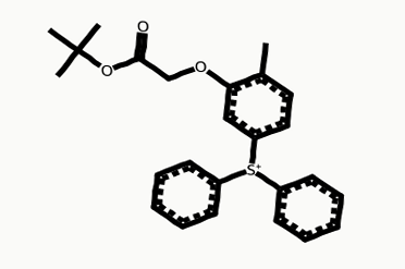 Cc1ccc([S+](c2ccccc2)c2ccccc2)cc1OCC(=O)OC(C)(C)C